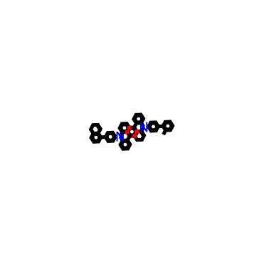 Cc1ccccc1-c1ccc(N(C2=CCCC=C2)c2ccccc2-c2ccc(-c3ccccc3N(c3ccccc3)c3ccc(-c4cccc5c4C=CCC5)cc3)cc2)cc1